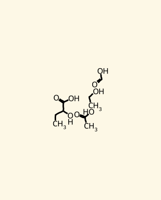 CC(=O)O.CCC(O)C(=O)O.CCO.O=CO